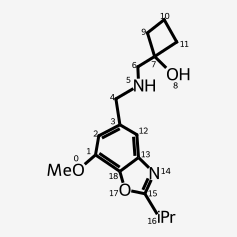 COc1cc(CNCC2(O)CCC2)cc2nc(C(C)C)oc12